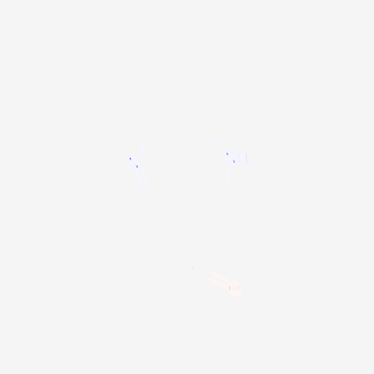 CC(=O)C1=C(C)Nc2c(C)cccc2N=C1